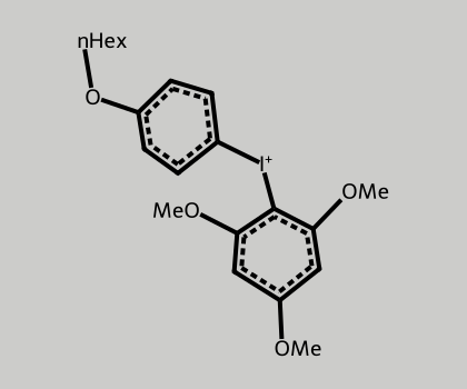 CCCCCCOc1ccc([I+]c2c(OC)cc(OC)cc2OC)cc1